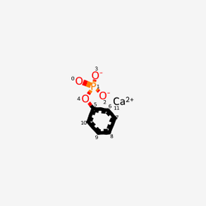 O=P([O-])([O-])Oc1ccccc1.[Ca+2]